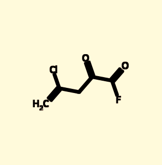 C=C(Cl)CC(=O)C(=O)F